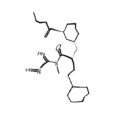 C=C(CCC)[C@H]1CCC[C@H](C[C@H](CCC2CCCCC2)C(=O)N(C)C(=N)N=N)C1